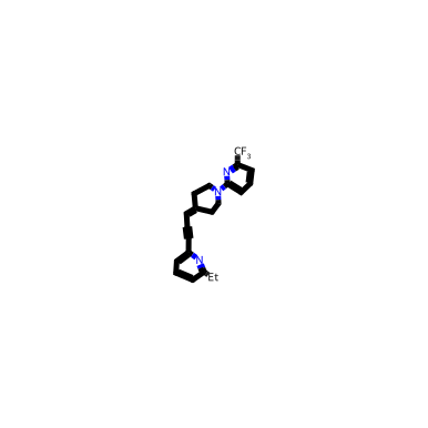 CCc1cccc(C#CC=C2CCN(c3cccc(C(F)(F)F)n3)CC2)n1